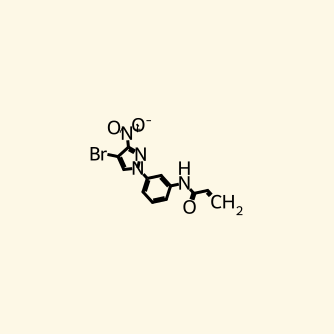 C=CC(=O)Nc1cccc(-n2cc(Br)c([N+](=O)[O-])n2)c1